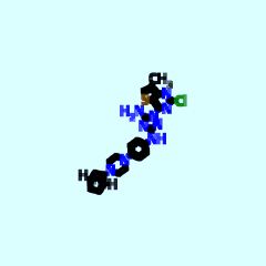 Cc1csc2c(-n3nc(Nc4ccc(N5CCN([C@@H]6C[C@H]7CC[C@@H]6C7)CC5)cc4)nc3N)nc(Cl)nc12